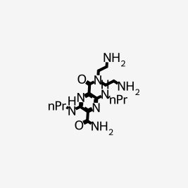 CCCNc1nc(C(=O)N(CCN)CCN)c(NCCC)nc1C(N)=O